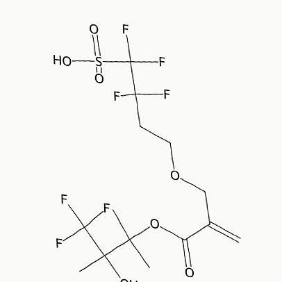 C=C(COCCC(F)(F)C(F)(F)S(=O)(=O)O)C(=O)OC(C)(C)C(C)(O)C(F)(F)F